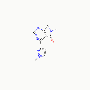 CN1Cc2ncnc(-c3ccn(C)n3)c2C1=O